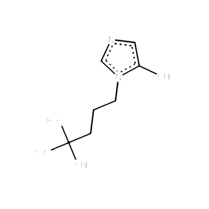 Cc1cncn1CCCC(C)(C)C